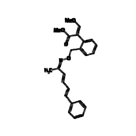 COC=C(C(=O)OC)c1ccccc1CON=C(C)C=CC=Cc1ccccc1